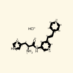 Cl.N[C@@H](Cc1c[nH]cn1)C(=O)Nc1cncc(/C=C/c2ccncc2)c1